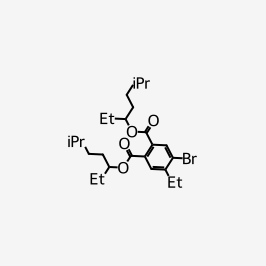 CCc1cc(C(=O)OC(CC)CCC(C)C)c(C(=O)OC(CC)CCC(C)C)cc1Br